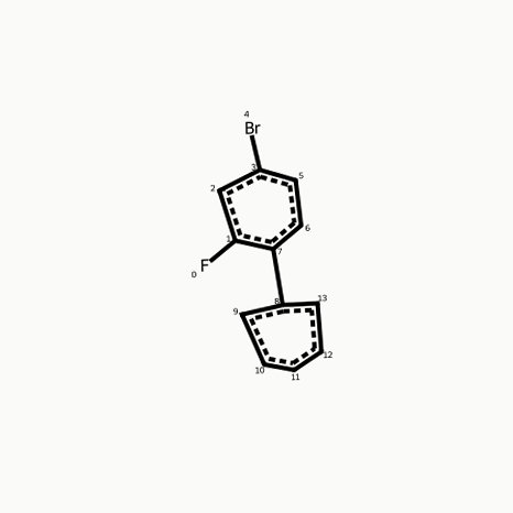 Fc1[c]c(Br)ccc1-c1ccccc1